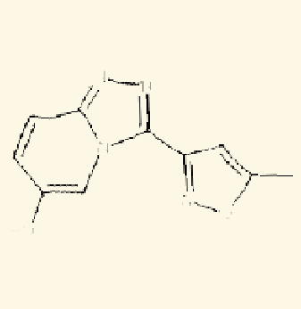 Cc1cc(-c2nnc3ccc(O)cn23)no1